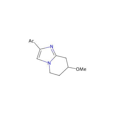 COC1CCn2cc(C(C)=O)nc2C1